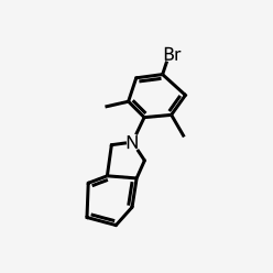 Cc1cc(Br)cc(C)c1N1Cc2ccccc2C1